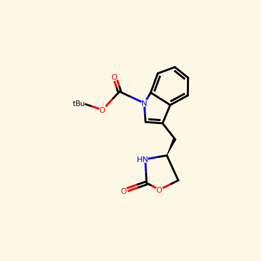 CC(C)(C)OC(=O)n1cc(C[C@H]2COC(=O)N2)c2ccccc21